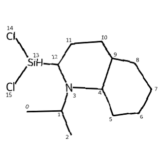 CC(C)N1C2CCCCC2CCC1[SiH](Cl)Cl